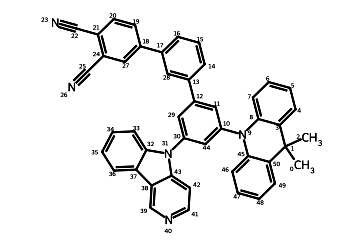 CC1(C)c2ccccc2N(c2cc(-c3cccc(-c4ccc(C#N)c(C#N)c4)c3)cc(-n3c4ccccc4c4cnccc43)c2)c2ccccc21